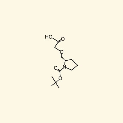 CC(C)(C)OC(=O)N1CCC[C@@H]1COCC(=O)O